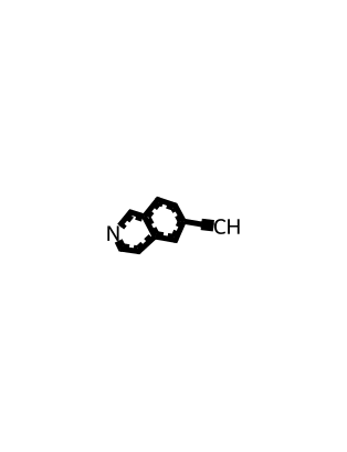 C#Cc1ccc2cnccc2c1